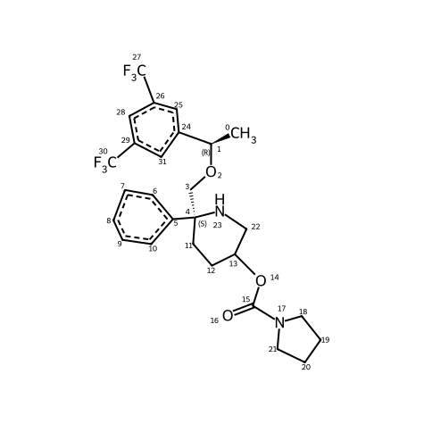 C[C@@H](OC[C@@]1(c2ccccc2)CCC(OC(=O)N2CCCC2)CN1)c1cc(C(F)(F)F)cc(C(F)(F)F)c1